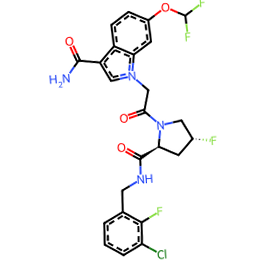 NC(=O)c1cn(CC(=O)N2C[C@H](F)C[C@H]2C(=O)NCc2cccc(Cl)c2F)c2cc(OC(F)F)ccc12